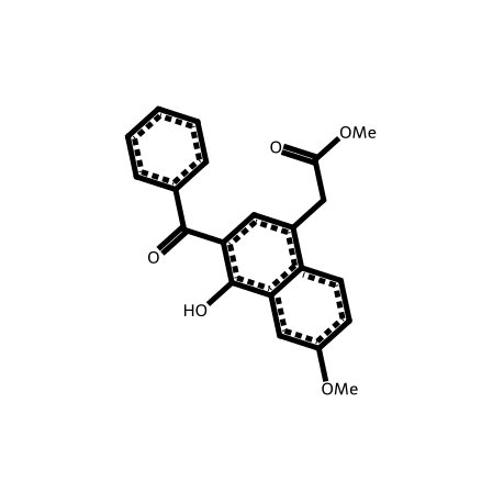 COC(=O)Cc1cc(C(=O)c2ccccc2)c(O)c2cc(OC)ccc12